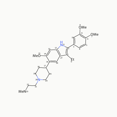 CCc1c(-c2ccc(OC)c(OC)c2)[nH]c2cc(OC)c(C3CCN(CCNC)CC3)cc12